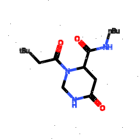 CCCCNC(=O)C1CC(=O)NCN1C(=O)CC(C)(C)C